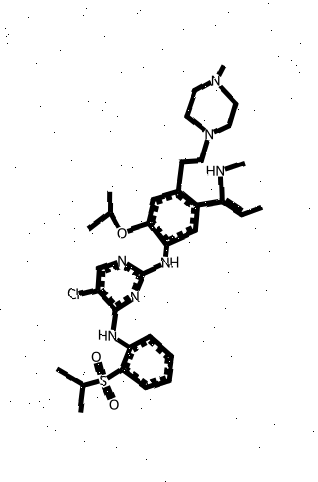 CC=C(NC)c1cc(Nc2ncc(Cl)c(Nc3ccccc3S(=O)(=O)C(C)C)n2)c(OC(C)C)cc1CCN1CCN(C)CC1